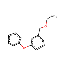 [SiH3]COCc1cccc(Oc2ccccc2)c1